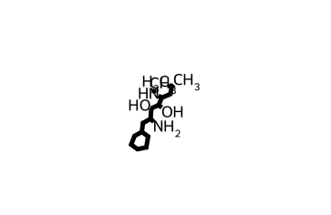 CNC(CC(C)C)C(O)C(O)C(N)CC1CCCCC1